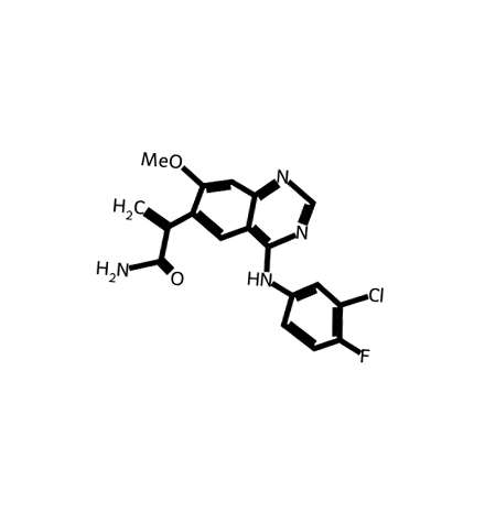 C=C(C(N)=O)c1cc2c(Nc3ccc(F)c(Cl)c3)ncnc2cc1OC